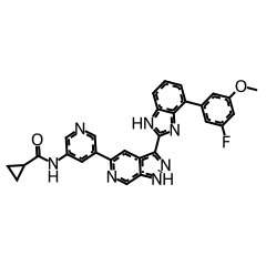 COc1cc(F)cc(-c2cccc3[nH]c(-c4n[nH]c5cnc(-c6cncc(NC(=O)C7CC7)c6)cc45)nc23)c1